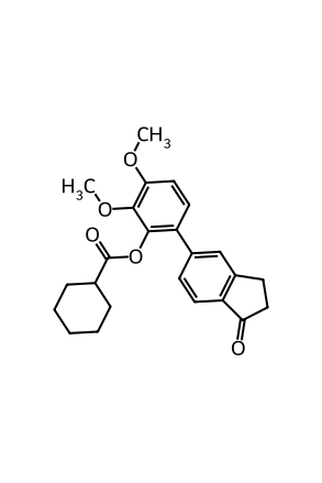 COc1ccc(-c2ccc3c(c2)CCC3=O)c(OC(=O)C2CCCCC2)c1OC